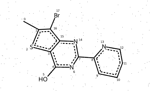 Cc1sc2c(O)nc(-c3ccccn3)nc2c1Br